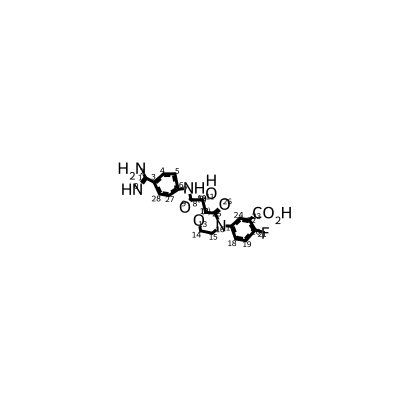 N=C(N)c1ccc(NC(=O)[C@H](O)[C@H]2OCCN(c3ccc(F)c(C(=O)O)c3)C2=O)cc1